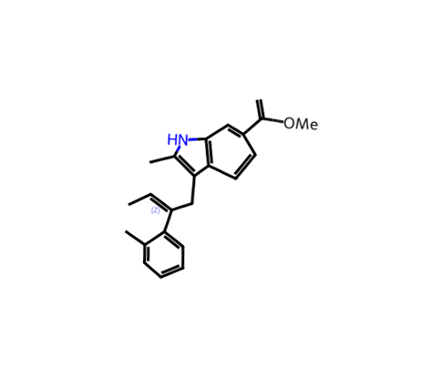 C=C(OC)c1ccc2c(C/C(=C/C)c3ccccc3C)c(C)[nH]c2c1